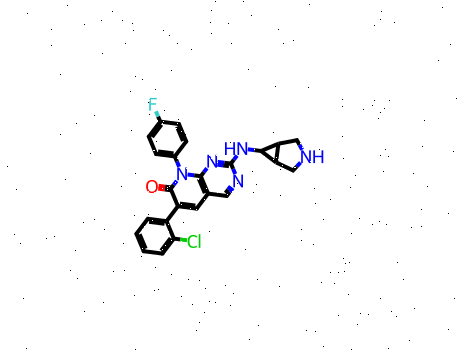 O=c1c(-c2ccccc2Cl)cc2cnc(NC3C4CNCC43)nc2n1-c1ccc(F)cc1